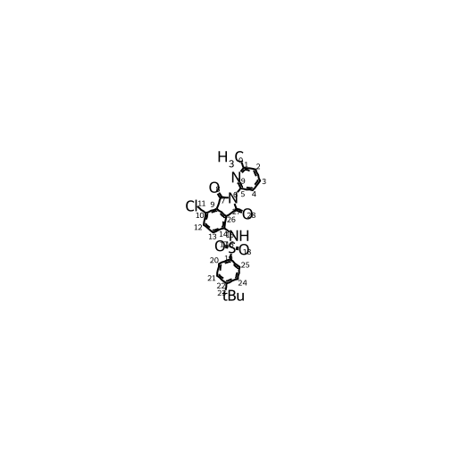 Cc1cccc(N2C(=O)c3c(Cl)ccc(NS(=O)(=O)c4ccc(C(C)(C)C)cc4)c3C2=O)n1